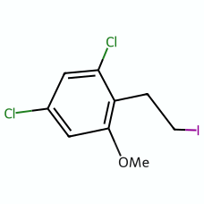 COc1cc(Cl)cc(Cl)c1CCI